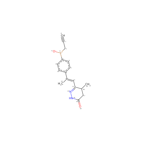 C#CC[S+]([O-])c1ccc(C(C)=CC2=NNC(=O)CC2C)cc1